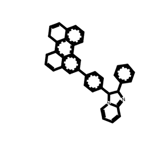 C1=CC2=NC(c3ccccc3)C(c3ccc(-c4cc5c6c(c7c8c(cccc8c6c4)C=CC7)CC=C5)cc3)N2C=C1